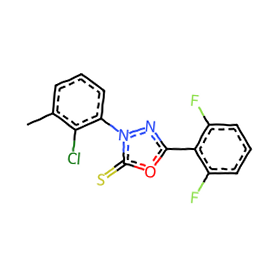 Cc1cccc(-n2nc(-c3c(F)cccc3F)oc2=S)c1Cl